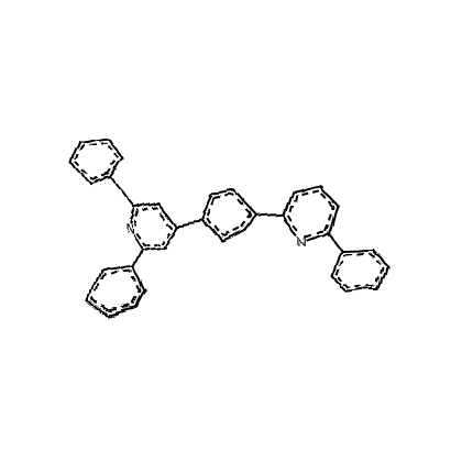 c1ccc(-c2cccc(-c3ccc(-c4cc(-c5ccccc5)nc(-c5ccccc5)c4)cc3)n2)cc1